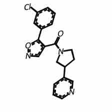 O=C(c1cnoc1-c1cccc(Cl)c1)N1CCC(c2cccnc2)C1